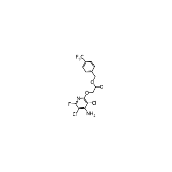 Nc1c(Cl)c(F)nc(OCC(=O)OCc2ccc(C(F)(F)F)cc2)c1Cl